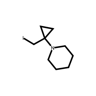 ICC1(N2CCCCC2)CC1